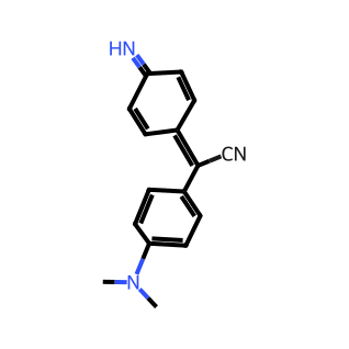 CN(C)c1ccc(C(C#N)=C2C=CC(=N)C=C2)cc1